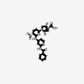 O=C(Nc1cc(Nc2nc(N3C[C@@H]4C[C@H]3CN4C(=O)O)ccc2[N+](=O)[O-])ccn1)c1ccccc1